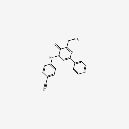 CCc1nc(-c2ccncc2)cn(Nc2ccc(C#N)cc2)c1=O